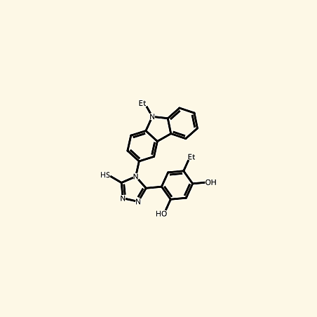 CCc1cc(-c2nnc(S)n2-c2ccc3c(c2)c2ccccc2n3CC)c(O)cc1O